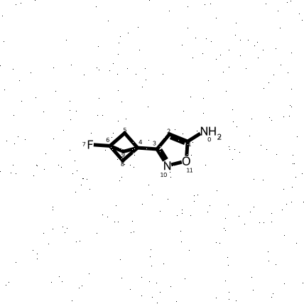 Nc1cc(C23CC(F)(C2)C3)no1